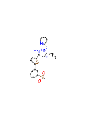 CS(=O)(=O)c1cccc(-c2ccc(C(=N)/C=C(\NCc3ccccn3)C(F)(F)F)s2)c1